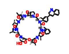 CC[C@H](C)[C@@H]1NC(=O)[C@@H]2CCCN2C(=O)[C@H](Cc2cccc(-c3cnc4ccccc4c3)c2)N(C)C(=O)[C@H](Cc2ccccc2)NC(=O)C(C(C)C)N(C)C(=O)[C@@H]([C@@H](C)CC)OC(=O)[C@H](C(C)(C)O)N(C)C(=O)[C@H](CC(C)C)NC(=O)C(C(C)C)N(C)C1=O